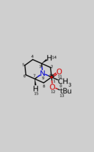 CC1C[C@H]2CCC[C@@H](C1)N2C(=O)OC(C)(C)C